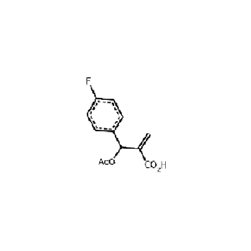 C=C(C(=O)O)C(OC(C)=O)c1ccc(F)cc1